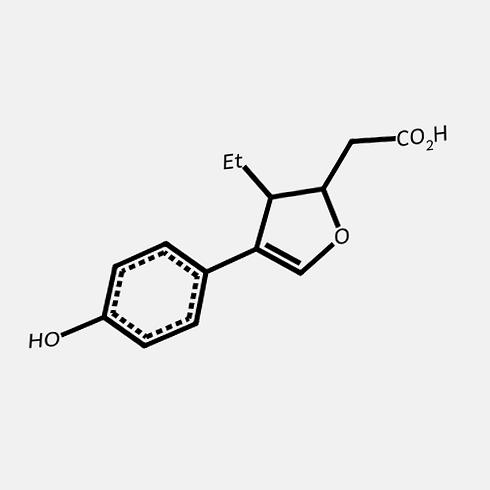 CCC1C(c2ccc(O)cc2)=COC1CC(=O)O